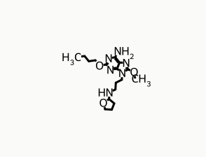 CCCCOc1nc(N)c2nc(OC)n(CCCNC3CCCO3)c2n1